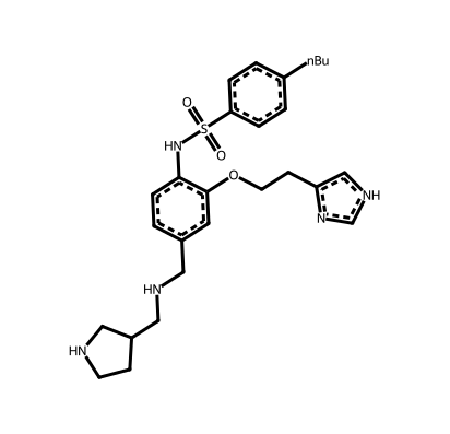 CCCCc1ccc(S(=O)(=O)Nc2ccc(CNCC3CCNC3)cc2OCCc2c[nH]cn2)cc1